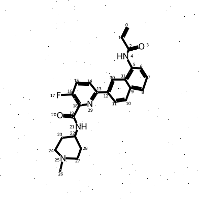 C=CC(=O)Nc1cccc2ccc(-c3ccc(F)c(C(=O)NC4CCN(C)CC4)n3)cc12